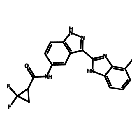 Cc1cccc2[nH]c(-c3n[nH]c4ccc(NC(=O)C5CC5(F)F)cc34)nc12